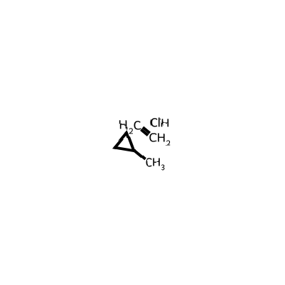 C=C.CC1CC1.Cl